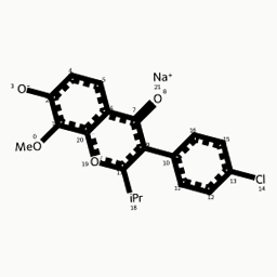 COc1c([O-])ccc2c(=O)c(-c3ccc(Cl)cc3)c(C(C)C)oc12.[Na+]